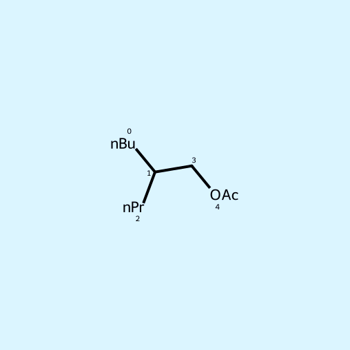 CCCCC(CCC)COC(C)=O